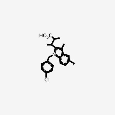 Cc1c(C(C)C(C)C(=O)O)n(Cc2ccc(Cl)cc2)c2ccc(F)cc12